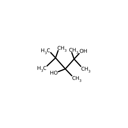 CC(C)(C)C(C)(O)C(C)(C)O